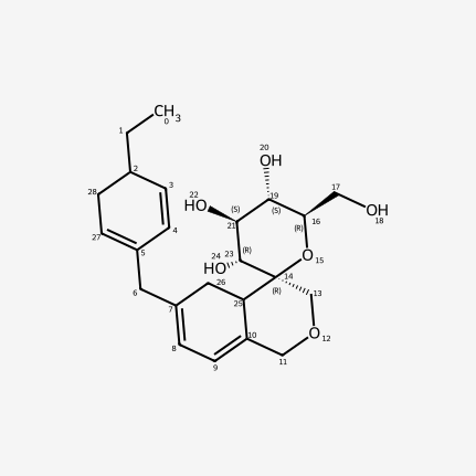 CCC1C=CC(CC2=CC=C3COC[C@]4(O[C@H](CO)[C@@H](O)[C@H](O)[C@H]4O)C3C2)=CC1